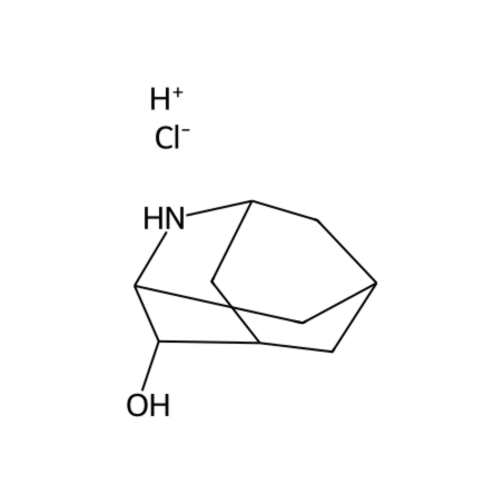 OC1C2CC3CC(C2)NC1C3.[Cl-].[H+]